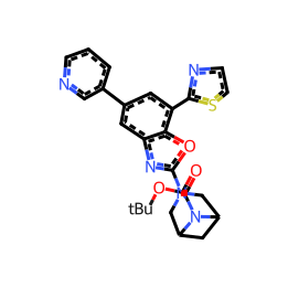 CC(C)(C)OC(=O)N1C2CC1CN(c1nc3cc(-c4cccnc4)cc(-c4nccs4)c3o1)C2